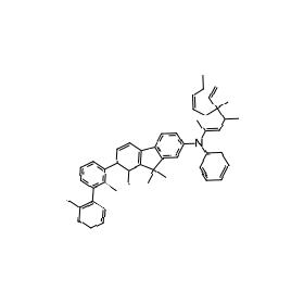 C=CC(C)(C/C=C\CC)C(C)/C=C(\C)N(c1ccc2c(c1)C(C)(C)C1=C2C=CC(c2cccc(C3=C(C)CCC=C3)c2C)C1C)C1C=CC=CC1